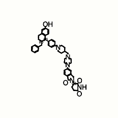 O=C1CC[C@H](N2Cc3cc(N4CCN(CC5CCN(c6ccc([C@@H]7c8ccc(O)cc8CC[C@@H]7Cc7ccccc7)cc6)CC5)CC4)ccc3C2=O)C(=O)N1